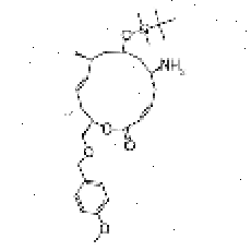 COc1ccc(COC[C@@H]2OC(=O)/C=C\C[C@H](N)CC(O[Si](C)(C)C(C)(C)C)C[C@H](C)/C=C/[C@H]2C)cc1